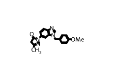 COc1ccc(Cn2cnc3ccc(N4N=C(C)CC4=O)cc32)cc1